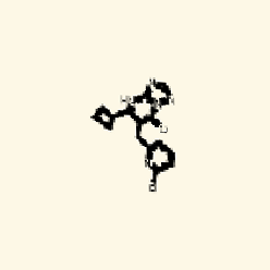 O=c1c(Cc2cccc(Cl)n2)c(C2CCC2)[nH]c2ncnn12